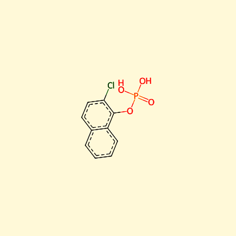 O=P(O)(O)Oc1c(Cl)ccc2ccccc12